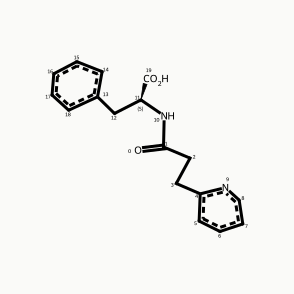 O=C(CCc1ccccn1)N[C@@H](Cc1ccccc1)C(=O)O